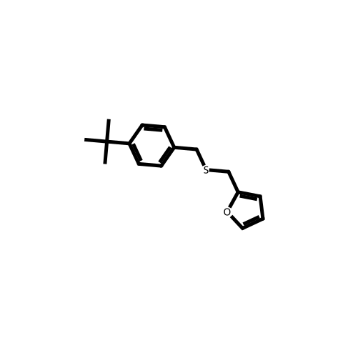 CC(C)(C)c1ccc(CSCc2ccco2)cc1